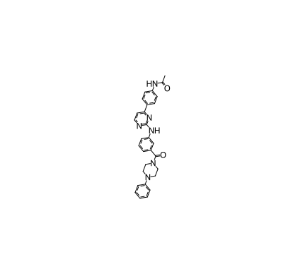 CC(=O)Nc1ccc(-c2ccnc(Nc3cccc(C(=O)N4CCN(c5ccccc5)CC4)c3)n2)cc1